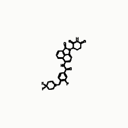 O=C1CCC(N2C(=O)c3cccc4c(NC(=O)c5ccc(CN6CCC(F)(F)CC6)c(F)c5)ccc2c34)C(=O)N1